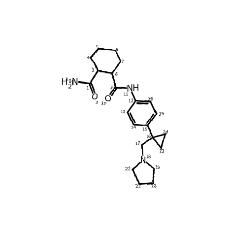 NC(=O)C1CCCCC1C(=O)Nc1ccc(C2(CN3CCCC3)CC2)cc1